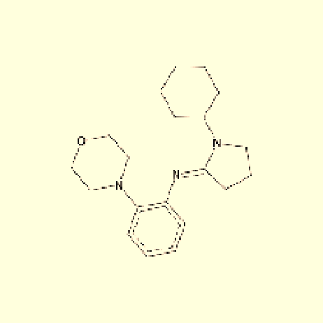 c1ccc(N2CCOCC2)c(N=C2CCCN2C2CCCCC2)c1